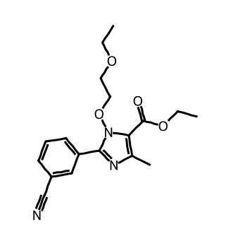 CCOCCOn1c(-c2cccc(C#N)c2)nc(C)c1C(=O)OCC